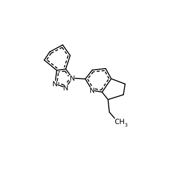 CCC1CCc2ccc(-n3nnc4ccccc43)nc21